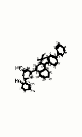 CC1(C)c2cc(-c3ccccc3)ccc2C2C3=C(C=CCC3)C(c3cc(O)nc(C4=C(O)C=CCC4)n3)=CC21